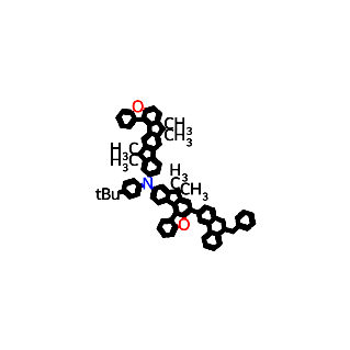 CC(C)(C)c1ccc(N(c2ccc3c(c2)C(C)(C)c2cc4c(cc2-3)C(C)(C)c2ccc3oc5ccccc5c3c2-4)c2ccc3c(c2)C(C)(C)c2cc(-c4ccc5c(c4)-c4ccccc4C(Cc4ccccc4)C5)c4oc5ccccc5c4c2-3)cc1